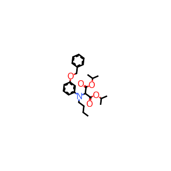 CCCCN(c1cccc(OCc2ccccc2)c1)C(C(=O)OC(C)C)C(=O)OC(C)C